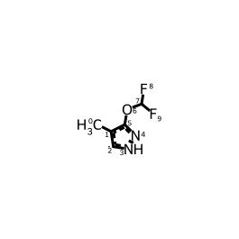 Cc1[c][nH]nc1OC(F)F